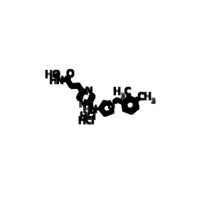 Cc1cccc(CN2CC[C@@H](Nc3cnc(/C=C/C(=O)NO)cn3)C2)c1C.Cl.Cl